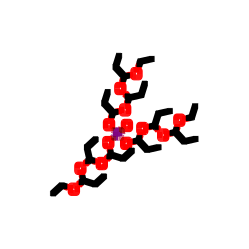 CCOC(CC)OC(CC)OC(CC)OP(=O)(OC(CC)OC(CC)OC(CC)OCC)OC(CC)OC(CC)OC(CC)OCC